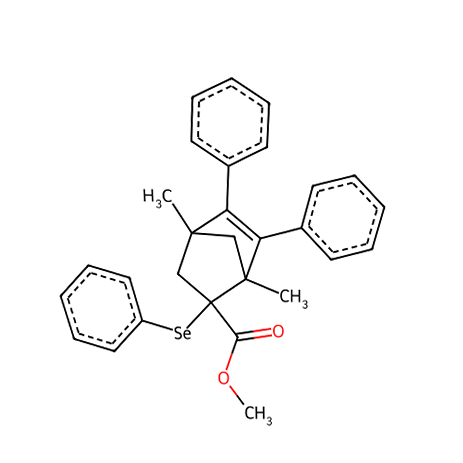 COC(=O)C1([Se]c2ccccc2)CC2(C)CC1(C)C(c1ccccc1)=C2c1ccccc1